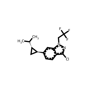 CC(C)[C@H]1C[C@@H]1c1ccc2c(Cl)nn(CC(F)(F)F)c2c1